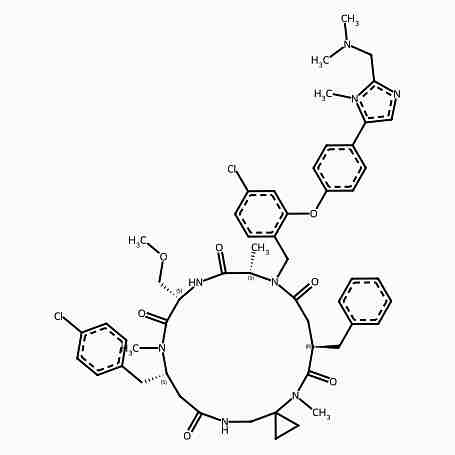 COC[C@@H]1NC(=O)[C@H](C)N(Cc2ccc(Cl)cc2Oc2ccc(-c3cnc(CN(C)C)n3C)cc2)C(=O)C[C@@H](Cc2ccccc2)C(=O)N(C)C2(CC2)CNC(=O)C[C@H](Cc2ccc(Cl)cc2)N(C)C1=O